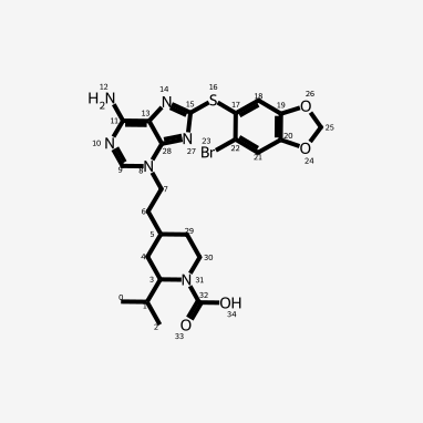 CC(C)C1CC(CCn2cnc(N)c3nc(Sc4cc5c(cc4Br)OCO5)nc2-3)CCN1C(=O)O